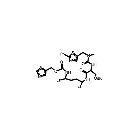 CCC(CCC(CC)NC(=O)C(COCC(C)C)NC(=O)N(C)Cc1cnc(C(C)C)s1)NC(=O)OCc1cncs1